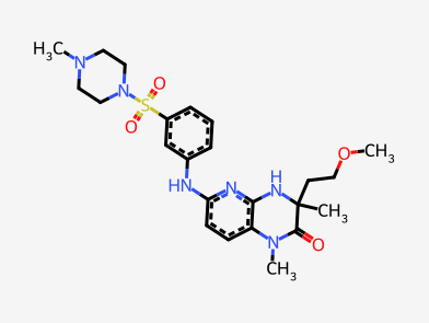 COCCC1(C)Nc2nc(Nc3cccc(S(=O)(=O)N4CCN(C)CC4)c3)ccc2N(C)C1=O